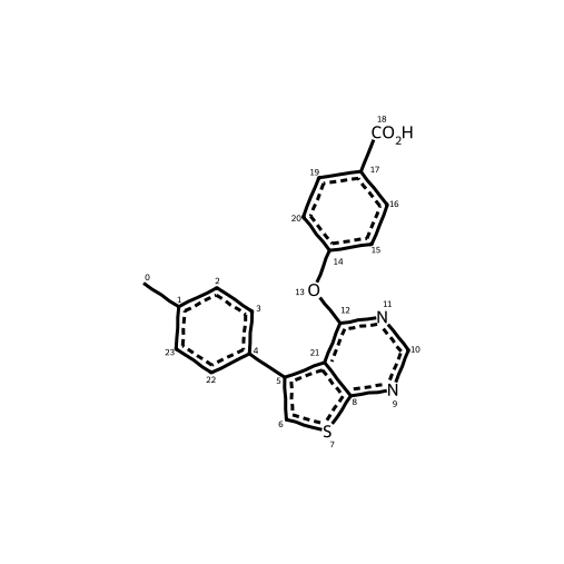 Cc1ccc(-c2csc3ncnc(Oc4ccc(C(=O)O)cc4)c23)cc1